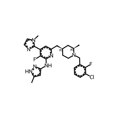 Cc1cc(Nc2nc(C[C@@H]3CCN(Cc4cccc(Cl)c4F)[C@H](C)C3)cc(-c3nccn3C)c2F)n[nH]1